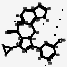 O=C(O)c1c(C2CC2)nc(-c2cncc(Cl)c2)n1Cc1cccc2ccsc12